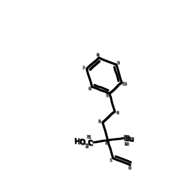 C=CC(CCc1ccccc1)(C(=O)O)C(C)CC